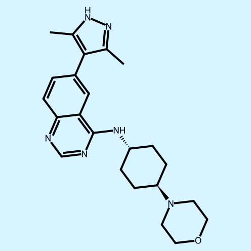 Cc1n[nH]c(C)c1-c1ccc2ncnc(N[C@H]3CC[C@H](N4CCOCC4)CC3)c2c1